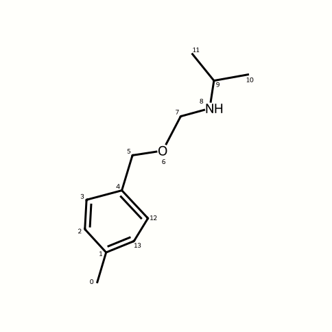 Cc1ccc(COCNC(C)C)cc1